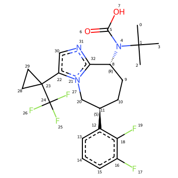 CC(C)(C)N(C(=O)O)[C@@H]1CC[C@@H](c2cccc(F)c2F)Cn2c(C3(C(F)(F)F)CC3)cnc21